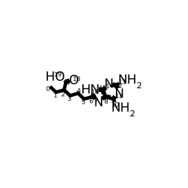 CCC(CCCc1nc2c(N)nc(N)nc2[nH]1)C(=O)O